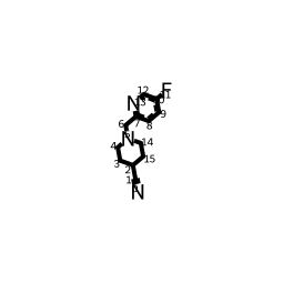 N#CC1CCN(Cc2ccc(F)cn2)CC1